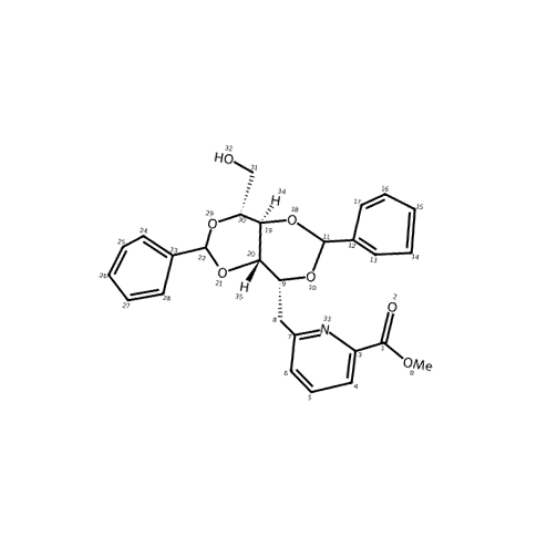 COC(=O)c1cccc(C[C@H]2OC(c3ccccc3)O[C@H]3[C@H]2OC(c2ccccc2)O[C@@H]3CO)n1